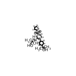 CC(C)(CO)NC[C@@H]1CN(S(=O)(=O)c2cccs2)CCN1c1ccc(C(C)(C)O)cc1